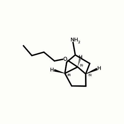 CCCCO[C@@H]1[C@@H]2CC[C@H]1CC(N)C2